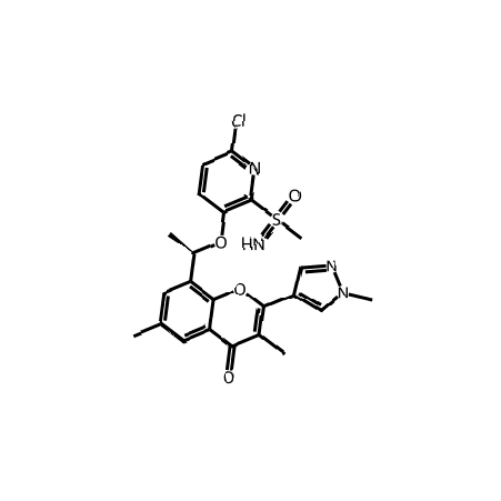 Cc1cc([C@@H](C)Oc2ccc(Cl)nc2S(C)(=N)=O)c2oc(-c3cnn(C)c3)c(C)c(=O)c2c1